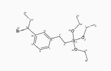 CCO[Si](CCc1cccc(C(Br)CC)c1)(OCC)OCC